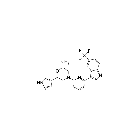 CC1CN(c2nccc(-c3cnc4ccc(C(F)(F)F)cn34)n2)CC(c2cn[nH]c2)O1